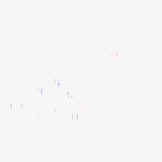 CC(=O)N(CCc1ccc(OCC(F)(F)F)cc1)c1ncnc(C(C)F)c1Cl